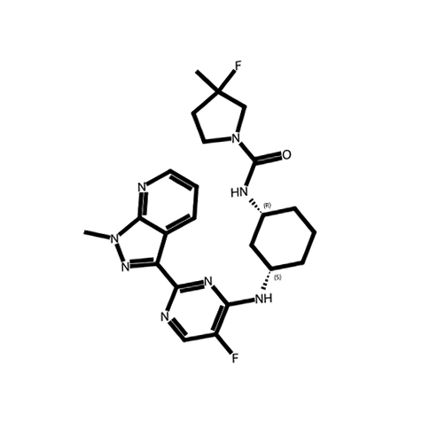 Cn1nc(-c2ncc(F)c(N[C@H]3CCC[C@@H](NC(=O)N4CCC(C)(F)C4)C3)n2)c2cccnc21